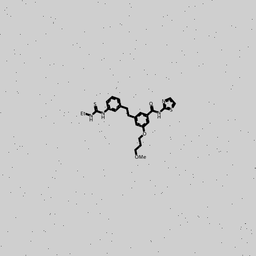 CCNC(=S)Nc1cccc(CCc2cc(OCCCOC)cc(C(=O)Nc3nccs3)c2)c1